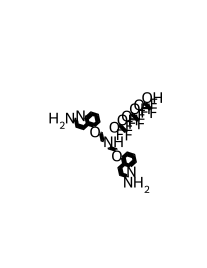 Nc1ccc2c(OCCNCCOc3cccc4nc(N)ccc34)cccc2n1.O=C(O)C(F)(F)F.O=C(O)C(F)(F)F.O=C(O)C(F)(F)F